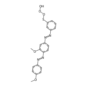 COc1ccc(N=Nc2ccc(N=Nc3cccc(SOOO)c3)cc2OC)cc1